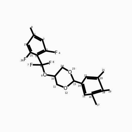 Cc1cc(F)c(C(F)(F)OC2COC(c3cc(C)c(C)c(C)c3)OC2)c(F)c1